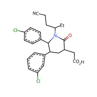 CCC(CCC#N)N1C(=O)C(CC(=O)O)CC(c2cccc(Cl)c2)C1c1ccc(Cl)cc1